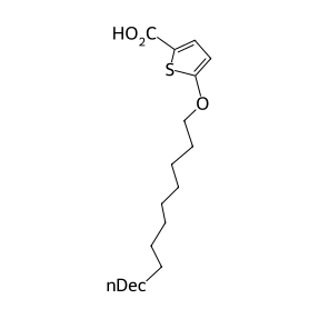 CCCCCCCCCCCCCCCCCCOc1ccc(C(=O)O)s1